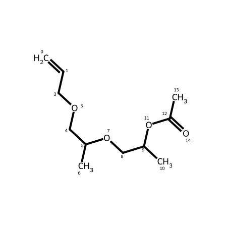 C=CCOCC(C)OCC(C)OC(C)=O